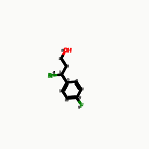 OCCC(Br)c1ccc(F)cc1